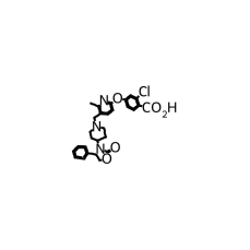 Cc1nc(Oc2ccc(C(=O)O)c(Cl)c2)ccc1CN1CCC(N2C(=O)OCC2c2ccccc2)CC1